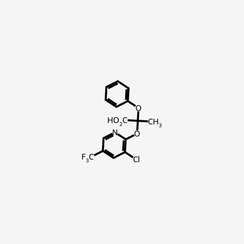 CC(Oc1ccccc1)(Oc1ncc(C(F)(F)F)cc1Cl)C(=O)O